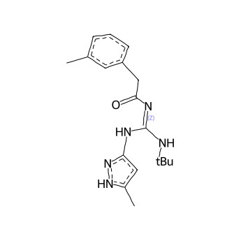 Cc1cccc(CC(=O)/N=C(\Nc2cc(C)[nH]n2)NC(C)(C)C)c1